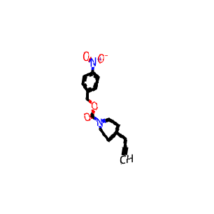 C#CCC1CCN(C(=O)OCc2ccc([N+](=O)[O-])cc2)CC1